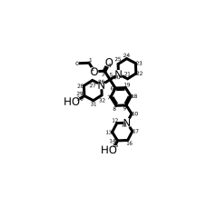 CCOC(=O)C(c1ccc(CN2CCC(O)CC2)cc1)(N1CCCCC1)N1CCC(O)CC1